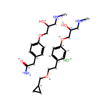 CC(C)NCC(O)COc1ccc(CC(N)=O)cc1.CC(C)NCC(O)COc1ccc(CCOCC2CC2)cc1.Cl